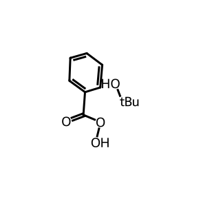 CC(C)(C)O.O=C(OO)c1ccccc1